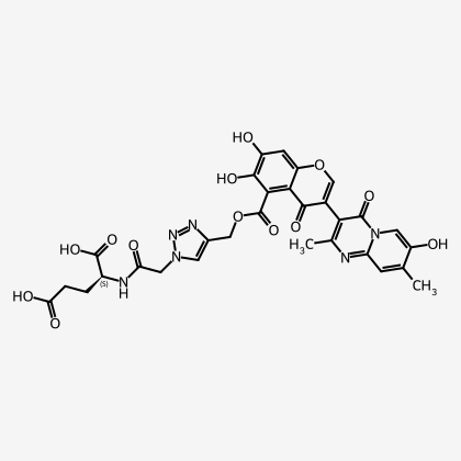 Cc1cc2nc(C)c(-c3coc4cc(O)c(O)c(C(=O)OCc5cn(CC(=O)N[C@@H](CCC(=O)O)C(=O)O)nn5)c4c3=O)c(=O)n2cc1O